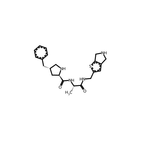 C[C@H](NC(=O)[C@H]1C[C@H](Cc2ccccc2)CN1)C(=O)NCc1cc2c(s1)CNC2